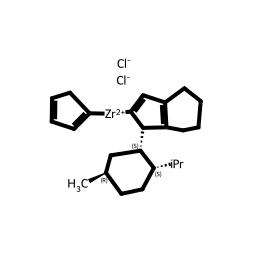 CC(C)[C@@H]1CC[C@@H](C)C[C@@H]1C1[C]([Zr+2][C]2=CC=CC2)=CC2=C1CCCC2.[Cl-].[Cl-]